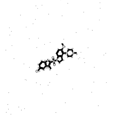 COc1ccc2c(c1N1CCN(C)CC1)CCN2S(=O)(=O)c1sc2ccc(Cl)cc2c1C